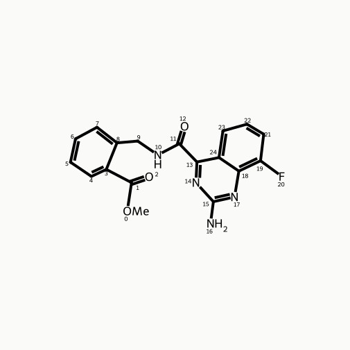 COC(=O)c1ccccc1CNC(=O)c1nc(N)nc2c(F)cccc12